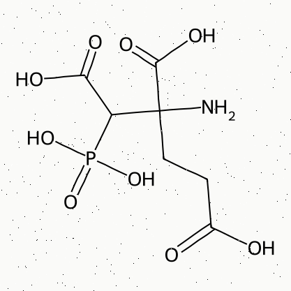 NC(CCC(=O)O)(C(=O)O)C(C(=O)O)P(=O)(O)O